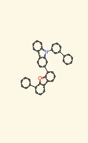 c1ccc(-c2cccc(-n3c4ccccc4c4ccc(-c5cccc6c5oc5c(-c7ccccc7)cccc56)cc43)c2)cc1